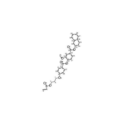 C=CC(=O)OCCCOc1ccc(C(=O)Oc2ccc(C(=O)Oc3ccc4ccccc4c3)cc2OC)cc1